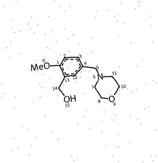 COc1ccc(CN2CCOCC2)cc1CO